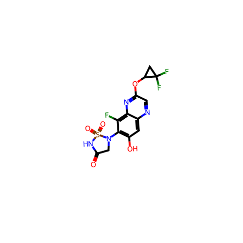 O=C1CN(c2c(O)cc3ncc(OC4CC4(F)F)nc3c2F)S(=O)(=O)N1